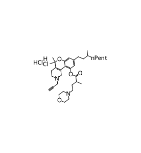 C#CCN1CCC2=C(C1)c1c(OC(=O)C(C)CCN3CCOCC3)cc(CCC(C)CCCCC)cc1OC2(C)C.Cl.Cl